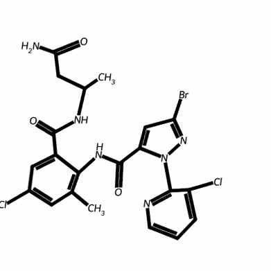 Cc1cc(Cl)cc(C(=O)NC(C)CC(N)=O)c1NC(=O)c1cc(Br)nn1-c1ncccc1Cl